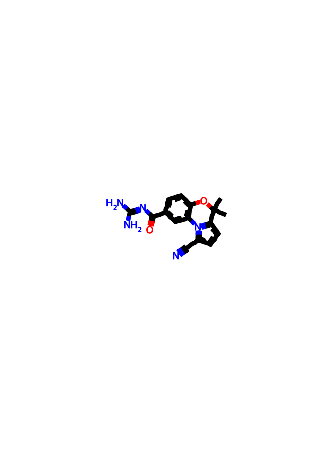 CC1(C)Oc2ccc(C(=O)N=C(N)N)cc2-n2c(C#N)ccc21